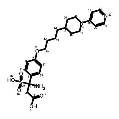 NC(CC(=O)O)(c1ccc(OCCCCC2CCN(c3ccncc3)CC2)cc1)S(=O)(=O)O